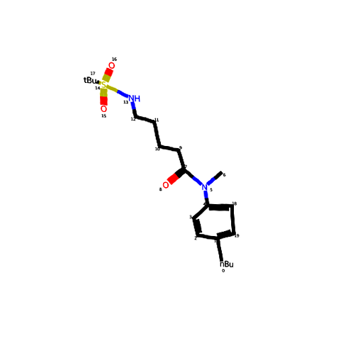 CCCCc1ccc(N(C)C(=O)CCCCNS(=O)(=O)C(C)(C)C)cc1